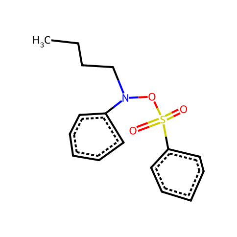 CCCCN(OS(=O)(=O)c1ccccc1)c1ccccc1